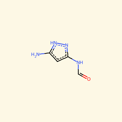 Nc1cc(NC=O)n[nH]1